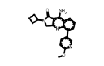 COc1ccc(-c2cccc3c(N)c4c(nc23)CN(C2CCC2)C4=O)cn1